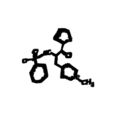 C[n+]1ccc(C=C(C#N)C(=O)c2cccs2)cc1.O=S(=O)([O-])c1ccccc1